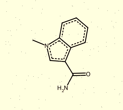 Cn1cc(C(N)=O)c2[c]cccc21